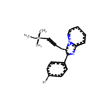 CCc1ccc(-c2nc3ccccn3c2C#C[Si](C)(C)C)cc1